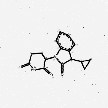 O=C1CCC(N2C(=O)C(C3CC3)c3ccccc32)C(=O)N1